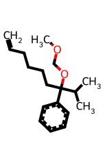 C=CCCCCC(OCOC)(c1ccccc1)C(C)C